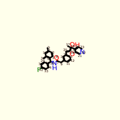 Cc1ccc(C(NC(=O)Cc2ccc3oc(C(C)(O)c4ccncc4)cc3c2)c2ccc(F)cc2)c(C)c1